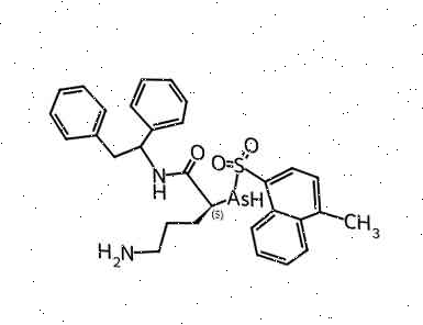 Cc1ccc(S(=O)(=O)[AsH][C@@H](CCCN)C(=O)NC(Cc2ccccc2)c2ccccc2)c2ccccc12